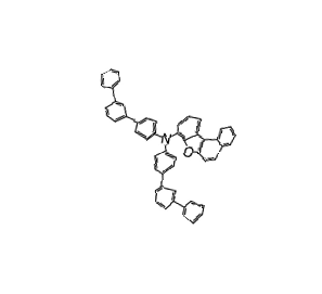 c1ccc(-c2cccc(-c3ccc(N(c4ccc(-c5cccc(-c6ccccc6)c5)cc4)c4cccc5c4oc4ccc6ccccc6c45)cc3)c2)cc1